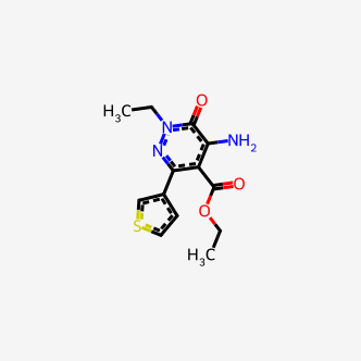 CCOC(=O)c1c(-c2ccsc2)nn(CC)c(=O)c1N